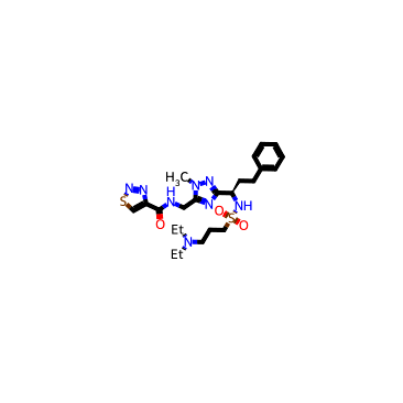 CCN(CC)CCCS(=O)(=O)N[C@H](CCc1ccccc1)c1nc(CNC(=O)c2csnn2)n(C)n1